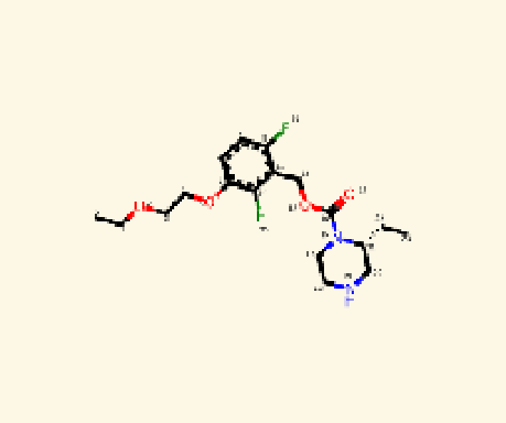 CCOCCOc1ccc(F)c(COC(=O)N2CCNC[C@H]2CC)c1F